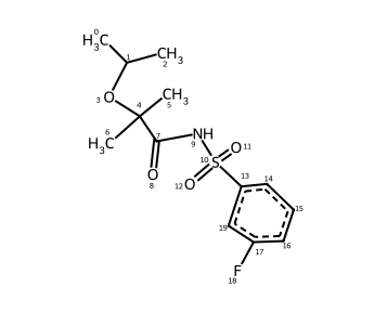 CC(C)OC(C)(C)C(=O)NS(=O)(=O)c1cccc(F)c1